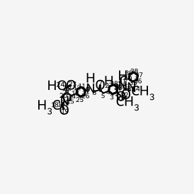 COc1cc(CC(=O)CNc2ccc(C3CN(C(C)=O)CC3C(=O)O)cc2)ccc1NC(=O)N(C)c1ccccc1C